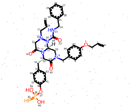 C=CCOc1ccc(CN2C[C@H]3N(C(=O)CN(CC=C)N3C(=O)NCc3ccccc3)[C@@H](Cc3ccc(OP(O)(O)=P)cc3)C2=O)cc1